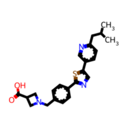 CC(C)Cc1ccc(-c2cnc(-c3ccc(CN4CC(C(=O)O)C4)cc3)s2)cn1